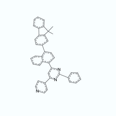 CC1(C)c2ccccc2-c2ccc(-c3ccc(-c4cc(-c5ccncc5)nc(-c5ccccc5)n4)c4ccccc34)cc21